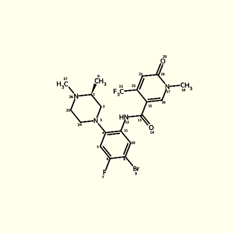 C[C@H]1CN(c2cc(F)c(Br)cc2NC(=O)c2cn(C)c(=O)cc2C(F)(F)F)CCN1C